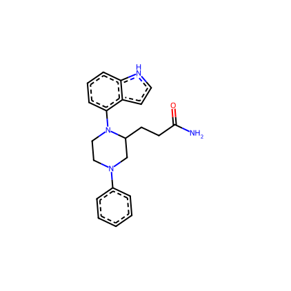 NC(=O)CCC1CN(c2ccccc2)CCN1c1cccc2[nH]ccc12